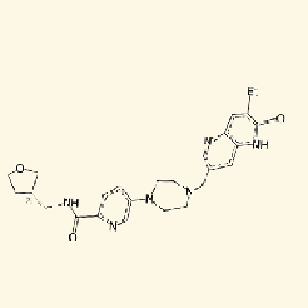 CCc1cc2ncc(CN3CCN(c4ccc(C(=O)NC[C@@H]5CCOC5)nc4)CC3)cc2[nH]c1=O